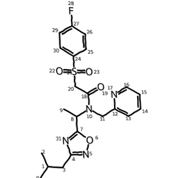 CC(C)Cc1noc(C(C)N(Cc2ccccn2)C(=O)CS(=O)(=O)c2ccc(F)cc2)n1